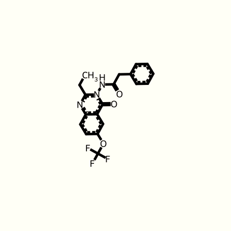 CCc1nc2ccc(OC(F)(F)F)cc2c(=O)n1NC(=O)Cc1ccccc1